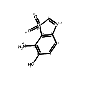 Nc1c(O)ccc2c1S(=O)(=O)C=N2